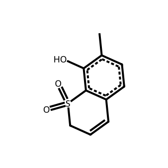 Cc1ccc2c(c1O)S(=O)(=O)CC=C2